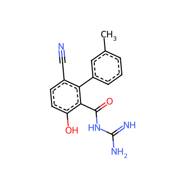 Cc1cccc(-c2c(C#N)ccc(O)c2C(=O)NC(=N)N)c1